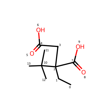 CCC(CC(=O)O)(C(=O)O)C(C)(C)C